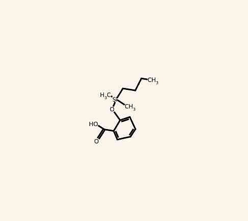 CCCC[Si](C)(C)Oc1ccccc1C(=O)O